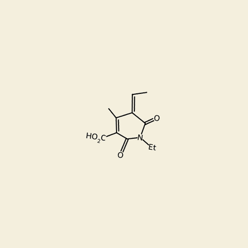 CC=C1C(=O)N(CC)C(=O)C(C(=O)O)=C1C